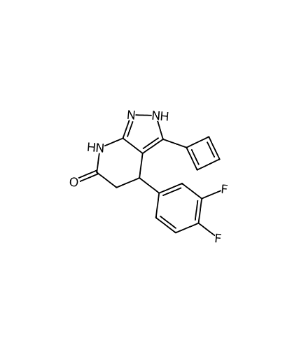 O=C1CC(c2ccc(F)c(F)c2)c2c(n[nH]c2C2=CC=C2)N1